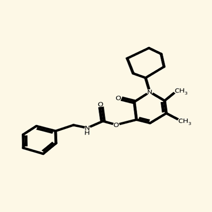 Cc1cc(OC(=O)NCc2ccccc2)c(=O)n(C2CCCCC2)c1C